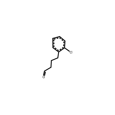 O=CCCCc1ccccc1Cl